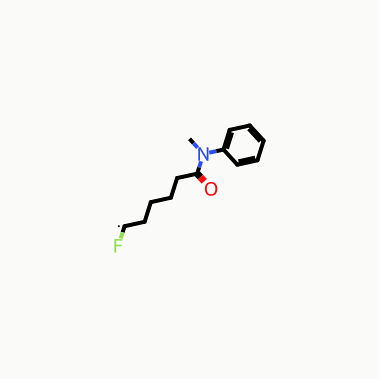 CN(C(=O)CCCC[CH]F)c1ccccc1